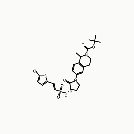 CC1c2ccc(N3CC[C@H](NS(=O)(=O)C=Cc4ccc(Cl)s4)C3=O)cc2CCN1C(=O)OC(C)(C)C